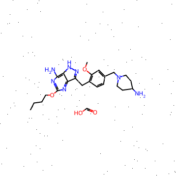 CCCCOc1nc(N)c2[nH]nc(Cc3ccc(CN4CCC(N)CC4)cc3OC)c2n1.O=CO